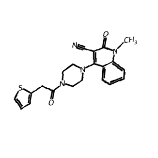 Cn1c(=O)c(C#N)c(N2CCN(C(=O)Cc3cccs3)CC2)c2ccccc21